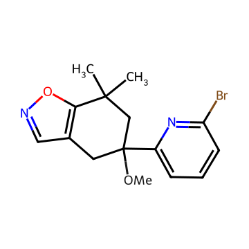 COC1(c2cccc(Br)n2)Cc2cnoc2C(C)(C)C1